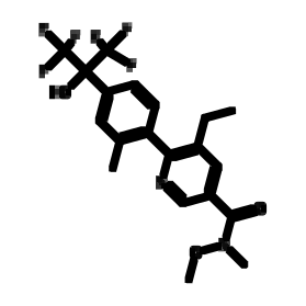 CCc1cc(C(=O)N(C)OC)cnc1-c1ccc(C(O)(C(F)(F)F)C(F)(F)F)cc1C